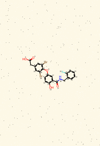 O=C(O)Cc1cc(Br)c(Oc2ccc(O)c(C(=O)NCc3ccccc3F)c2)c(Br)c1